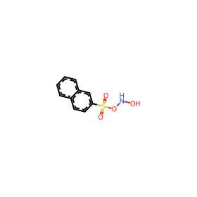 O=S(=O)(ONO)c1[c]c2ccccc2cc1